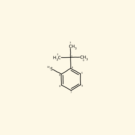 CC(C)(C)c1ccccc1[S]